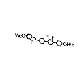 COc1ccc(/C=C/C2CCC(c3ccc(C4CCC(OC)CC4)c(F)c3F)CC2)c(F)c1